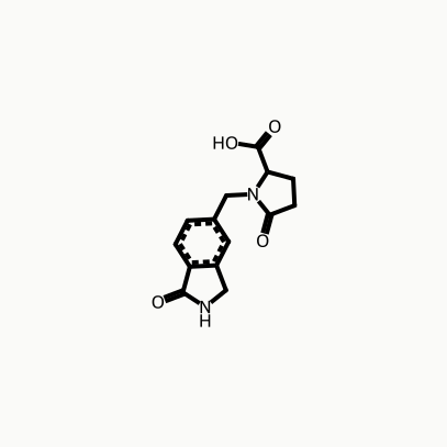 O=C1NCc2cc(CN3C(=O)CCC3C(=O)O)ccc21